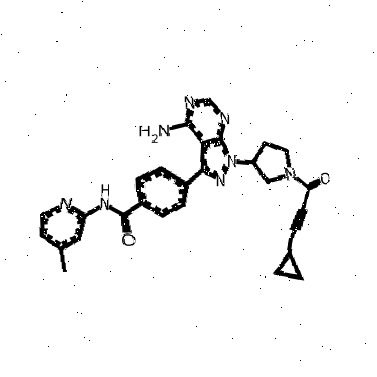 Cc1ccnc(NC(=O)c2ccc(-c3nn(C4CCN(C(=O)C#CC5CC5)C4)c4ncnc(N)c34)cc2)c1